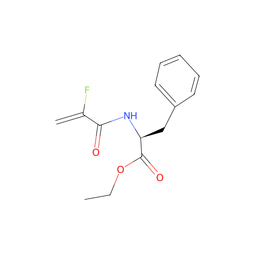 C=C(F)C(=O)N[C@@H](Cc1ccccc1)C(=O)OCC